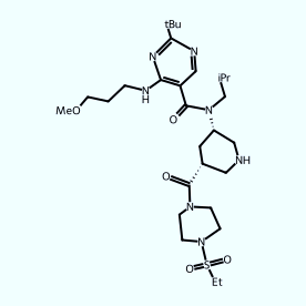 CCS(=O)(=O)N1CCN(C(=O)[C@H]2CNC[C@@H](N(CC(C)C)C(=O)c3cnc(C(C)(C)C)nc3NCCCOC)C2)CC1